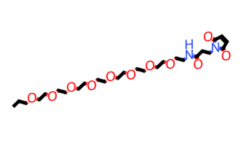 CCCOCCOCCOCCOCCOCCOCCOCCOCCNC(=O)CCN1C(=O)C=CC1=O